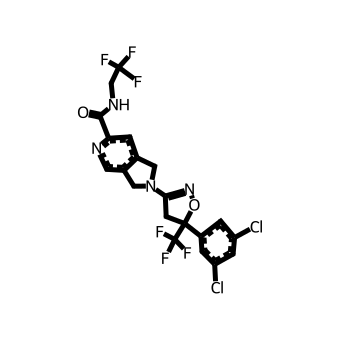 O=C(NCC(F)(F)F)c1cc2c(cn1)CN(C1=NOC(c3cc(Cl)cc(Cl)c3)(C(F)(F)F)C1)C2